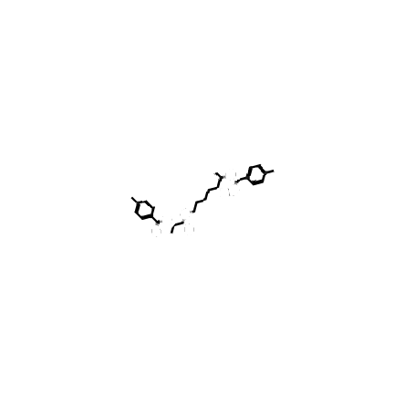 Cc1ccc(C(=O)OC(C)C(=O)CCCCOC(=O)C(C)OC(=O)c2ccc(C)cc2)cc1